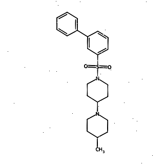 CC1CCN(C2CCN(S(=O)(=O)c3cccc(-c4ccccc4)c3)CC2)CC1